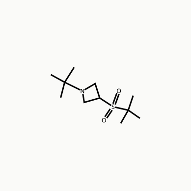 CC(C)(C)N1CC(S(=O)(=O)C(C)(C)C)C1